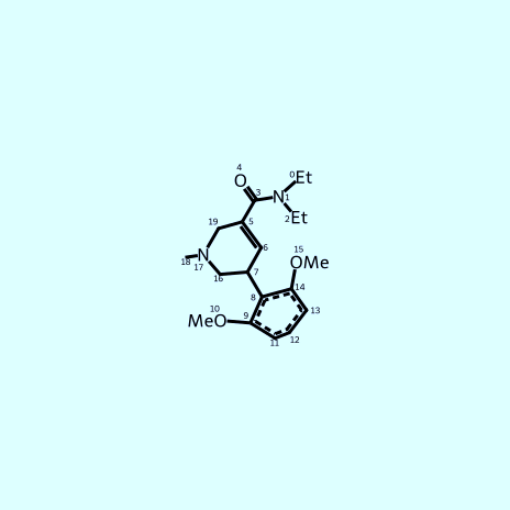 CCN(CC)C(=O)C1=CC(c2c(OC)cccc2OC)CN(C)C1